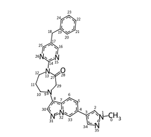 Cn1cc(-c2ccc3c(N4CCCN(c5ncc(Cc6ccccc6)cn5)C(=O)C4)cnn3c2)cn1